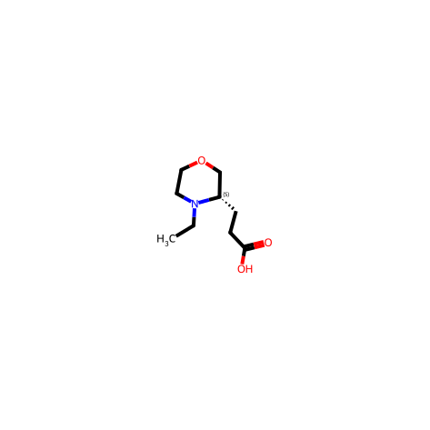 CCN1CCOC[C@@H]1CCC(=O)O